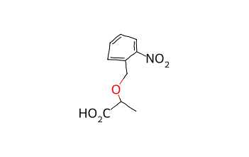 CC(OCc1ccccc1[N+](=O)[O-])C(=O)O